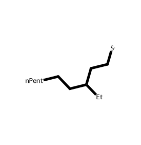 CCCCCCCC(CC)CC[S]